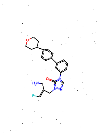 NC/C(=C\F)Cn1ncn(-c2cccc(-c3ccc(C4CCOCC4)cc3)c2)c1=O